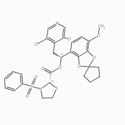 COc1ccc([C@H](Cc2c(Cl)cncc2Cl)OC(=O)[C@@H]2SCCN2S(=O)(=O)c2ccccc2)c2c1OC1(CCCC1)O2